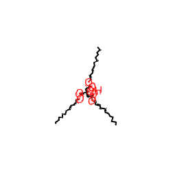 CCCCCCCCCCCCOC(=O)CC(O)(CC(=O)OCCCCCCCCCCCC)C(=O)OCCCCCCCCCCCC